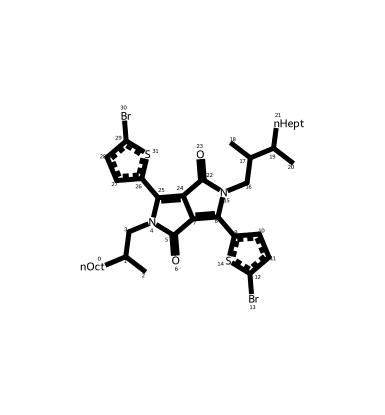 CCCCCCCCC(C)CN1C(=O)C2=C(c3ccc(Br)s3)N(CC(C)C(C)CCCCCCC)C(=O)C2=C1c1ccc(Br)s1